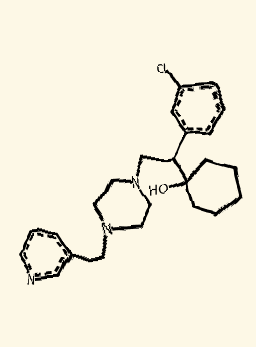 OC1(C(CN2CCN(Cc3cccnc3)CC2)c2cccc(Cl)c2)CCCCC1